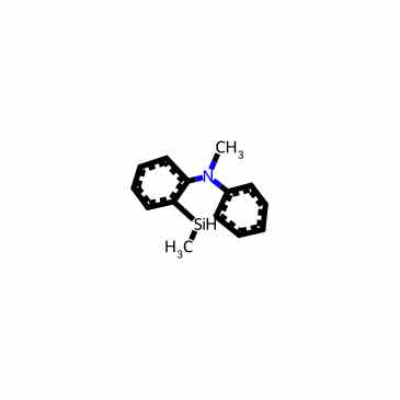 CN1c2ccccc2[SiH](C)c2ccccc21